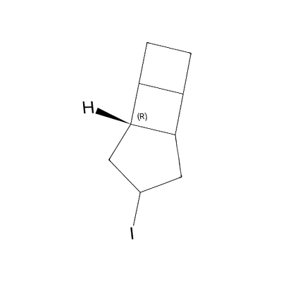 IC1CC2C3CCC3[C@H]2C1